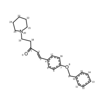 O=C(C=Cc1ccc(OCc2ccccc2)cc1)CCN1CCCCC1